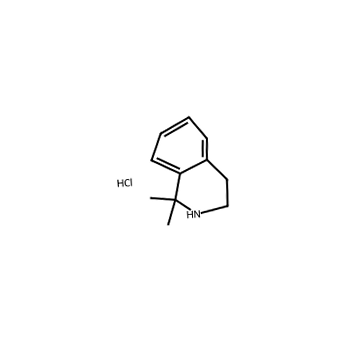 CC1(C)NCCc2ccccc21.Cl